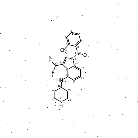 [O-][S+](c1ccccc1Cl)n1cc(C(F)F)c2c(NC3CCNCC3)cccc21